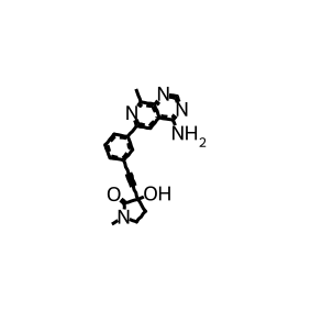 Cc1nc(-c2cccc(C#CC3(O)CCN(C)C3=O)c2)cc2c(N)ncnc12